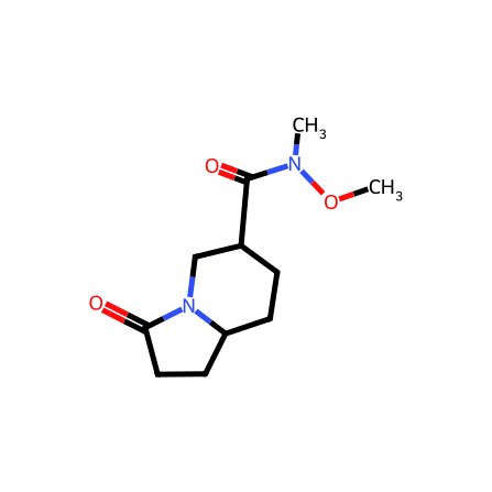 CON(C)C(=O)C1CCC2CCC(=O)N2C1